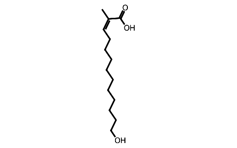 CC(=CCCCCCCCCCCO)C(=O)O